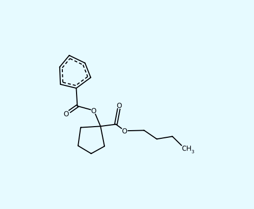 CCCCOC(=O)C1(OC(=O)c2ccccc2)CCCC1